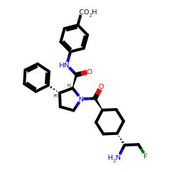 NC(CF)[C@H]1CC[C@H](C(=O)N2CC[C@H](c3ccccc3)[C@H]2C(=O)Nc2ccc(C(=O)O)cc2)CC1